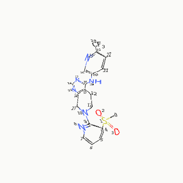 CS(=O)(=O)c1cccnc1N1CCc2c(ncnc2Nc2ccc(C(F)(F)F)nc2)C1